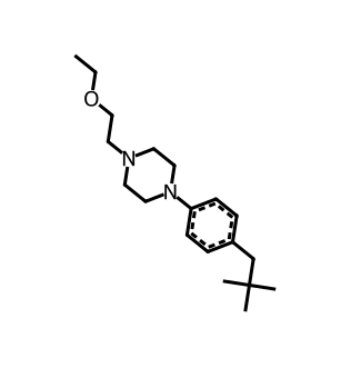 CCOCCN1CCN(c2ccc(CC(C)(C)C)cc2)CC1